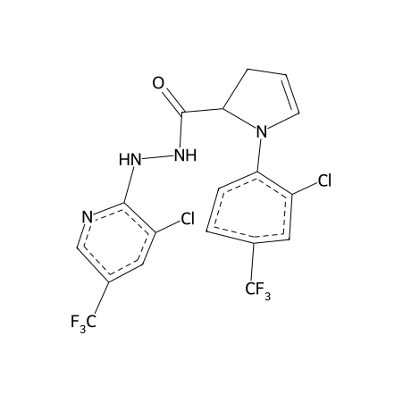 O=C(NNc1ncc(C(F)(F)F)cc1Cl)C1CC=CN1c1ccc(C(F)(F)F)cc1Cl